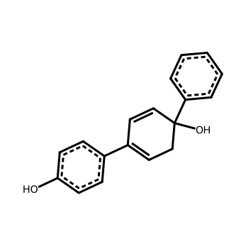 Oc1ccc(C2=CCC(O)(c3ccccc3)C=C2)cc1